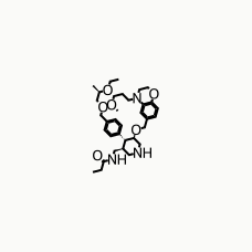 CCO[C@H](C)COCc1ccc([C@H]2[C@H](CNC(=O)CC)CNC[C@@H]2OCc2ccc3c(c2)N(CCCOC)CCO3)cc1